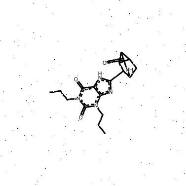 CCCn1c(=O)c2[nH]c(C3C4CC5C(C(=O)N4)C53)nc2n(CCC)c1=O